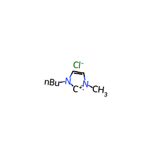 CCCCN1[C+]N(C)C=C1.[Cl-]